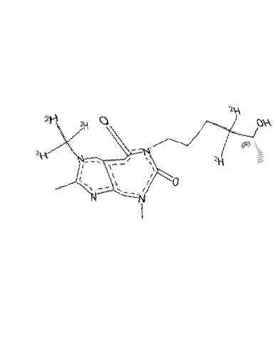 [2H]C([2H])(CCCn1c(=O)c2c(nc(C)n2C([2H])([2H])[2H])n(C)c1=O)[C@@H](C)O